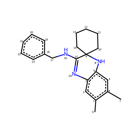 Cc1cc2c(cc1C)NC1(CCCCC1)C(NCc1ccccc1)=N2